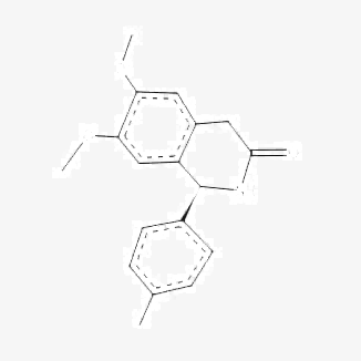 COc1cc2c(cc1OC)[C@H](c1ccc(C)cc1)NC(=O)C2